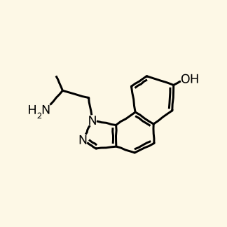 CC(N)Cn1ncc2ccc3cc(O)ccc3c21